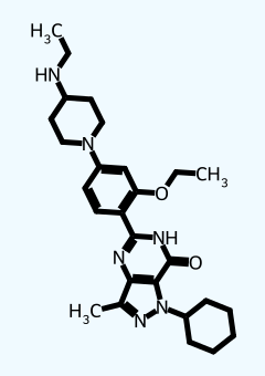 CCNC1CCN(c2ccc(-c3nc4c(C)nn(C5CCCCC5)c4c(=O)[nH]3)c(OCC)c2)CC1